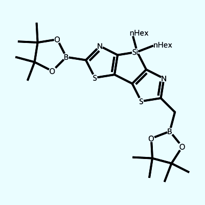 CCCCCC[Si]1(CCCCCC)c2nc(CB3OC(C)(C)C(C)(C)O3)sc2-c2sc(B3OC(C)(C)C(C)(C)O3)nc21